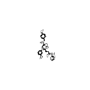 COc1ccc(CNC(=O)CN(C(=O)CCC(=O)Nc2nccs2)c2cccc(OC)c2)cc1